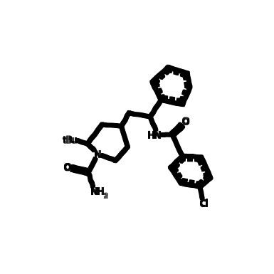 CC(C)(C)C1CC(CC(NC(=O)c2ccc(Cl)cc2)c2ccccc2)CCN1C(N)=O